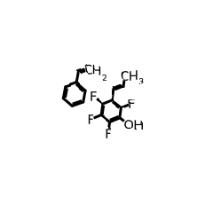 C=Cc1ccccc1.CC=Cc1c(F)c(O)c(F)c(F)c1F